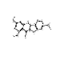 COc1cc(OC)c2c(=O)c3oc4cc(OC)ccc4c3oc2c1